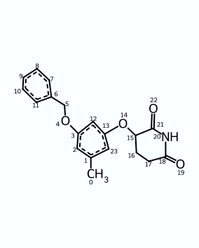 Cc1cc(OCc2ccccc2)cc(OC2CCC(=O)NC2=O)c1